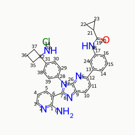 Nc1ncccc1-c1nc2ccc(-c3cccc(NC(=O)C4CC4)c3)nc2n1-c1ccc(C2(NCl)CCC2)cc1